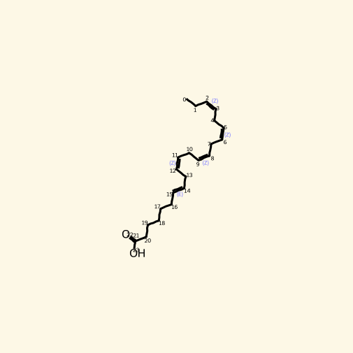 CC/C=C\C/C=C\C/C=C\C/C=C\C/C=C/CCCCCC(=O)O